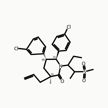 C=CC[C@@]1(C)C[C@H](c2cccc(Cl)c2)[C@@H](c2ccc(Cl)cc2)N(C(CC)C(C)S(C)(=O)=O)C1=O